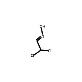 ON=CC(Cl)Cl